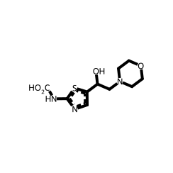 O=C(O)Nc1ncc(C(O)CN2CCOCC2)s1